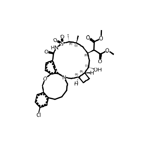 COC(=O)C(C(=O)OC)[C@@H]1C[C@H](C)[C@@H](C)S(=O)(=O)NC(=O)c2ccc3c(c2)N(CCCCc2cc(Cl)ccc2CO3)C[C@@H]2CC[C@H]2[C@@H](O)C1